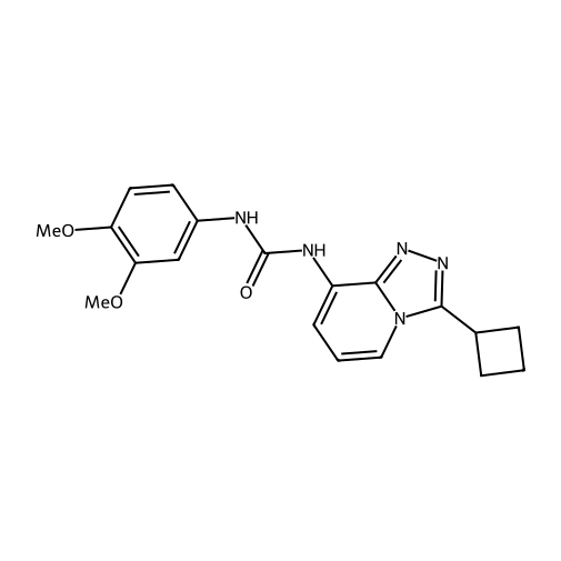 COc1ccc(NC(=O)Nc2cccn3c(C4CCC4)nnc23)cc1OC